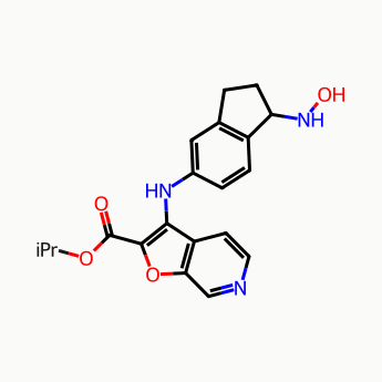 CC(C)OC(=O)c1oc2cnccc2c1Nc1ccc2c(c1)CCC2NO